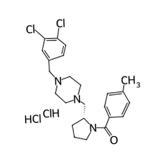 Cc1ccc(C(=O)N2CCC[C@@H]2CN2CCN(Cc3ccc(Cl)c(Cl)c3)CC2)cc1.Cl.Cl